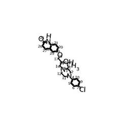 C[C@H]1CN(c2ccc(Cl)cc2)CCN1C[C@@H](O)COc1ccc2[nH]c(=O)ccc2c1